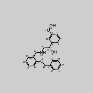 OOc1cccc([C@H](O)CNCc2ccccc2OCc2ccccc2)c1